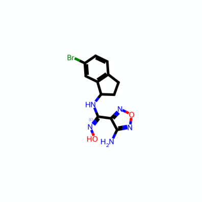 Nc1nonc1/C(=N\O)NC1CCc2ccc(Br)cc21